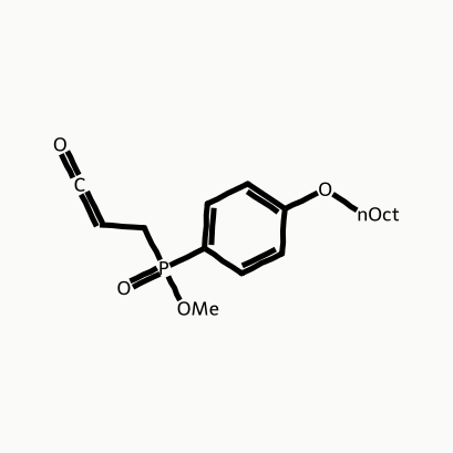 CCCCCCCCOc1ccc(P(=O)(CC=C=O)OC)cc1